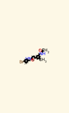 C=CC(=O)NCc1cc(C)cc(C/C=C\C(=O)NCc2ccc(Br)cc2)c1